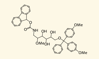 COc1ccc(C(OCC(O)C(O)C(O)C(CNC(=O)OC2c3ccccc3-c3ccccc32)OC)(c2ccccc2)c2ccc(OC)cc2)cc1